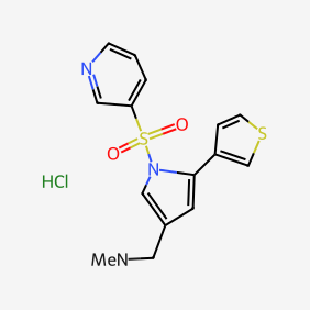 CNCc1cc(-c2ccsc2)n(S(=O)(=O)c2cccnc2)c1.Cl